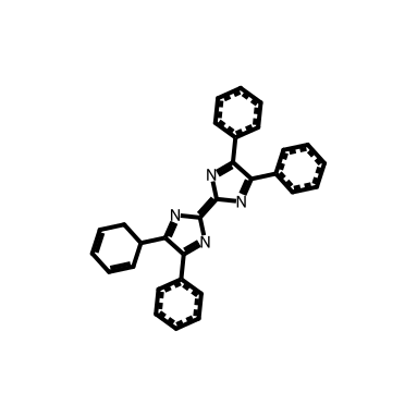 C1=CCC(C2=NC(=C3N=C(c4ccccc4)C(c4ccccc4)=N3)N=C2c2ccccc2)C=C1